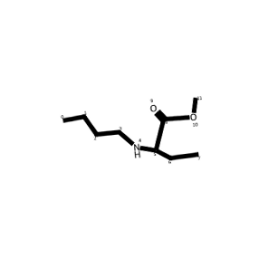 CCCCNC(CC)C(=O)OC